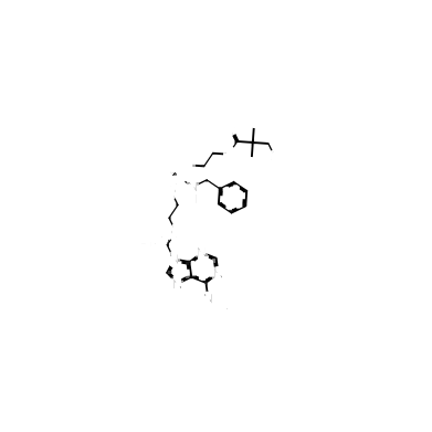 CC[C@H](OCCOP(=O)(NCc1ccccc1)OCCSC(=O)C(C)(C)CO)n1cnc2c(N)ncnc21